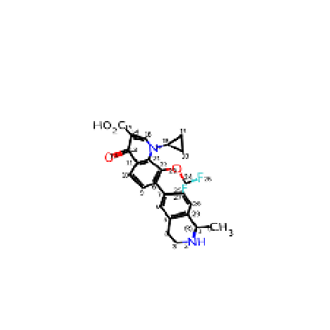 C[C@H]1NCCc2cc(-c3ccc4c(=O)c(C(=O)O)cn(C5CC5)c4c3OC(F)F)ccc21